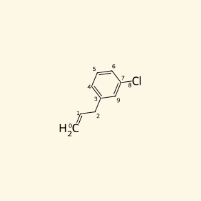 C=CCc1cccc(Cl)c1